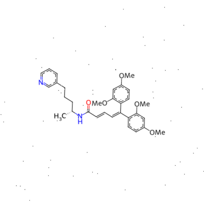 COc1ccc(C(=C/C=C/C(=O)N[C@H](C)CCCc2cccnc2)c2ccc(OC)cc2OC)c(OC)c1